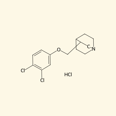 Cl.Clc1ccc(OCC2CN3CCC2CC3)cc1Cl